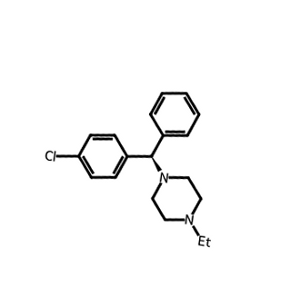 CCN1CCN([C@H](c2ccccc2)c2ccc(Cl)cc2)CC1